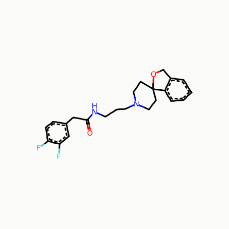 O=C(Cc1ccc(F)c(F)c1)NCCCN1CCC2(CC1)OCc1ccccc12